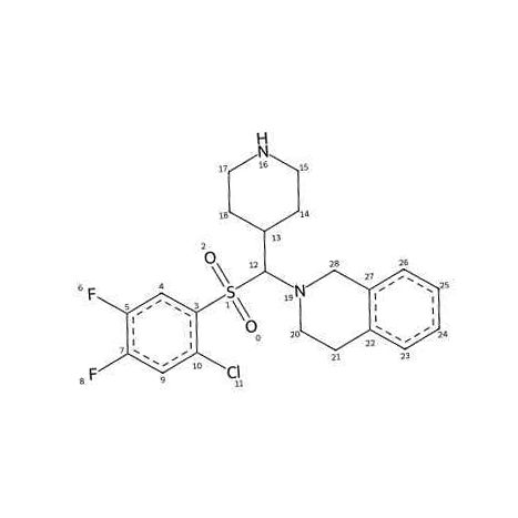 O=S(=O)(c1cc(F)c(F)cc1Cl)C(C1CCNCC1)N1CCc2ccccc2C1